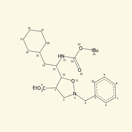 CCOC(=O)C1CN(Cc2ccccc2)OC1C(CC1CCCCC1)NC(=O)OC(C)(C)C